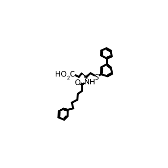 O=C(O)CC[C@@H](CSc1cccc(-c2ccccc2)c1)NC(=O)CCCCCc1ccccc1